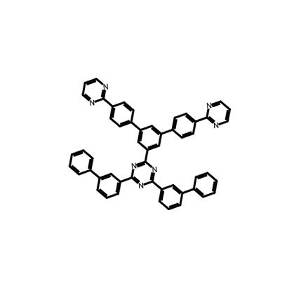 c1ccc(-c2cccc(-c3nc(-c4cccc(-c5ccccc5)c4)nc(-c4cc(-c5ccc(-c6ncccn6)cc5)cc(-c5ccc(-c6ncccn6)cc5)c4)n3)c2)cc1